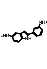 CC(=O)Nc1cccc(-c2cc3cc(NC(C)=O)ccc3[nH]2)c1